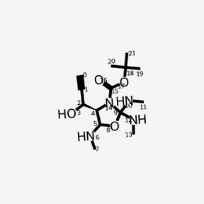 C#CC(O)[C@@H]1C(NC)OC(NC)(NC)N1C(=O)OC(C)(C)C